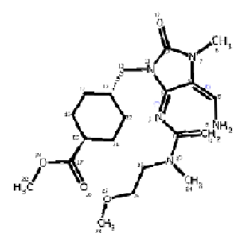 C=C(/N=C1\C(=C/N)N(C)C(=O)N1C[C@H]1CC[C@H](C(=O)OC)CC1)N(C)CCOC